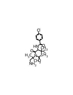 CC1(C)SC(=O)N(C(C)(C)CN)C(=O)C1NC(=O)c1ccc(Cl)cc1